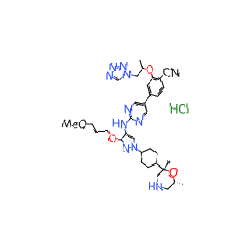 COCCCOc1nn(C2CCC([C@@]3(C)CNC[C@@H](C)O3)CC2)cc1Nc1ncc(-c2ccc(C#N)c(OC(C)Cn3cnnn3)c2)cn1.Cl